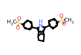 CS(=O)(=O)c1ccc(-c2[nH]c(-c3ccc(S(C)(=O)=O)cc3)c3c2C2CCC3C2)cc1